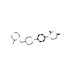 CC1CNCCN1CC1CCN(c2ccc(N3CCC(=O)NC3=O)cc2)CC1